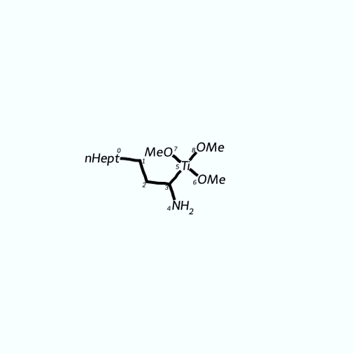 CCCCCCCCC[CH](N)[Ti]([O]C)([O]C)[O]C